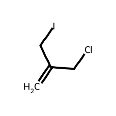 C=C(CCl)CI